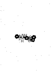 N=C(Nc1nc2ccccc2s1)c1ccc(S(=O)(=O)N2CCCc3ccccc32)cc1